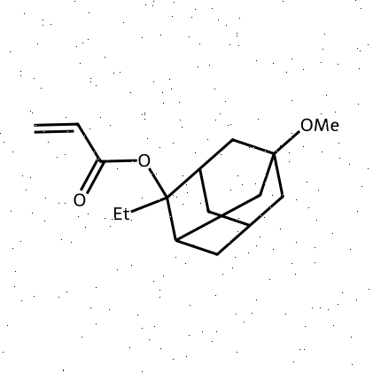 C=CC(=O)OC1(CC)C2CC3CC1CC(OC)(C3)C2